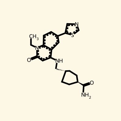 CCn1c(=O)cc(NC[C@H]2CC[C@H](C(N)=O)CC2)c2cc(-c3cncs3)ccc21